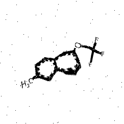 [CH2]c1ccc2cc(OC(F)(F)F)ccc2c1